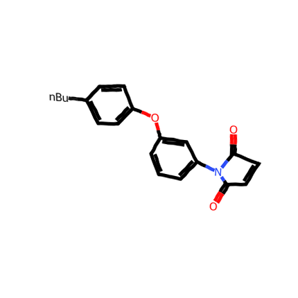 CCCCc1ccc(Oc2cccc(N3C(=O)C=CC3=O)c2)cc1